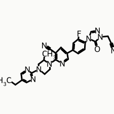 CCc1cnc(N2CCN(c3ncc(-c4ccc(-n5cnn(CC#N)c5=O)c(F)c4)cc3C#N)C(C)C2)nc1